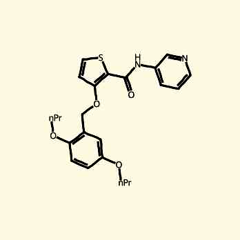 CCCOc1ccc(OCCC)c(COc2ccsc2C(=O)Nc2cccnc2)c1